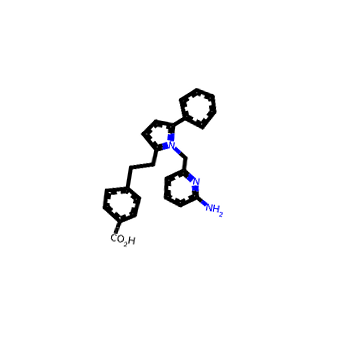 Nc1cccc(Cn2c(CCc3ccc(C(=O)O)cc3)ccc2-c2ccccc2)n1